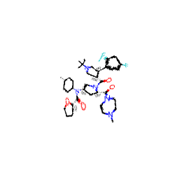 CN1CCN(C(=O)[C@@H]2C[C@H](N(C(=O)[C@@H]3CCCO3)[C@H]3CC[C@@H](C)CC3)CN2C(=O)[C@@H]2CN(C(C)(C)C)C[C@H]2c2ccc(F)cc2F)CC1